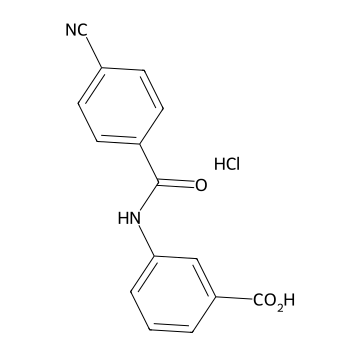 Cl.N#Cc1ccc(C(=O)Nc2cccc(C(=O)O)c2)cc1